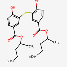 CCCCCCCCCCCCC(C)OC(=O)c1ccc(O)c(Sc2cc(C(=O)OC(C)CCCCCCCCCCCC)ccc2O)c1